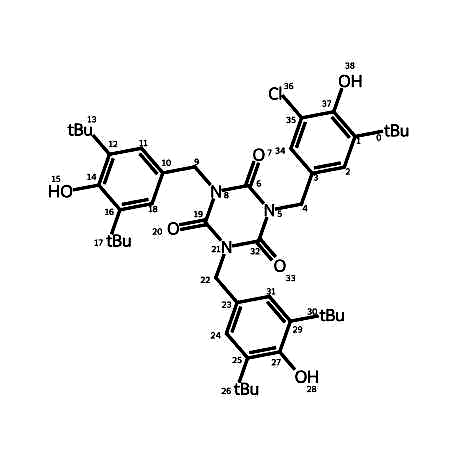 CC(C)(C)c1cc(Cn2c(=O)n(Cc3cc(C(C)(C)C)c(O)c(C(C)(C)C)c3)c(=O)n(Cc3cc(C(C)(C)C)c(O)c(C(C)(C)C)c3)c2=O)cc(Cl)c1O